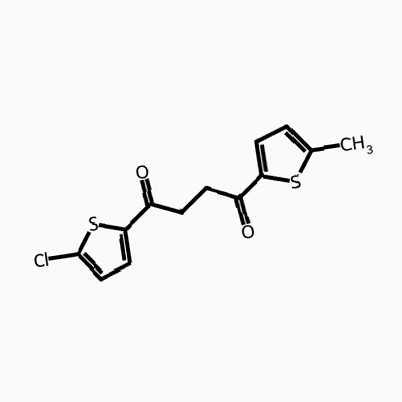 Cc1ccc(C(=O)CCC(=O)c2ccc(Cl)s2)s1